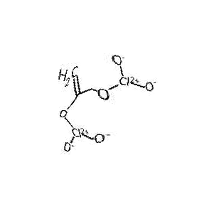 C=C(O[Cl+2]([O-])[O-])O[Cl+2]([O-])[O-]